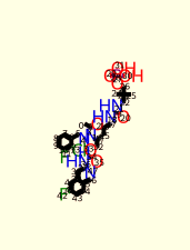 CC(=O)N(NCc1cccc(F)c1Cl)[C@@H](CCCNC(=O)NCC(C)(C)COP(=O)(O)O)COC(=O)Nc1cc2cc(F)ccc2cn1